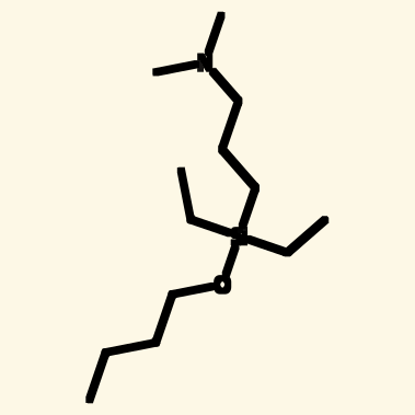 CCCCO[Si](CC)(CC)CCCN(C)C